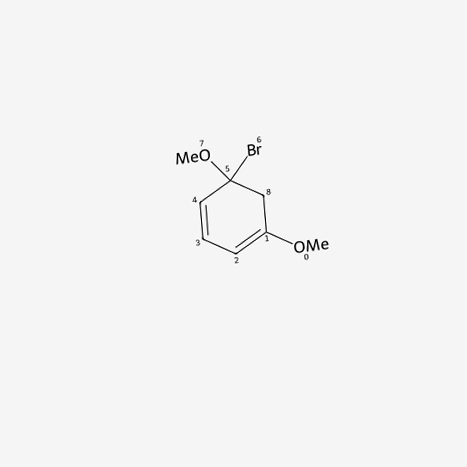 COC1=CC=CC(Br)(OC)C1